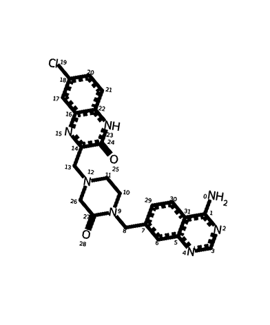 Nc1ncnc2cc(CN3CCN(Cc4nc5cc(Cl)ccc5[nH]c4=O)CC3=O)ccc12